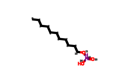 CCCCCCCCCCCO[PH](=O)O